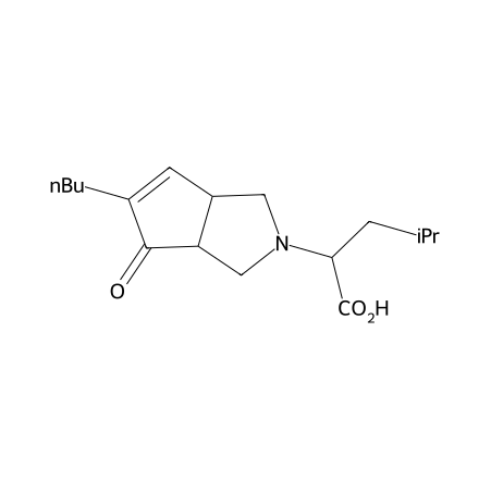 CCCCC1=CC2CN(C(CC(C)C)C(=O)O)CC2C1=O